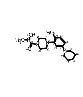 CN(C)C(=O)N1CCN(c2cc(N3CCCCC3)ccc2O)CC1